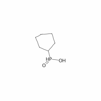 O=[PH](O)C1CC[CH]CC1